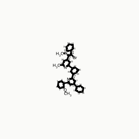 COc1ccccc1-c1cc(-c2ccccc2)cc(-c2cccc(-c3cc(-c4c(Br)c5ccccc5n4C)cc(C)n3)c2)n1